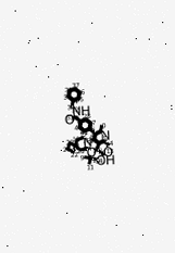 Cc1nc(C)c([C@H](OC(C)(C)C)C(=O)O)c(N2CCC3(CCC3)CC2)c1-c1ccc(C(=O)NCc2ccccc2)cc1